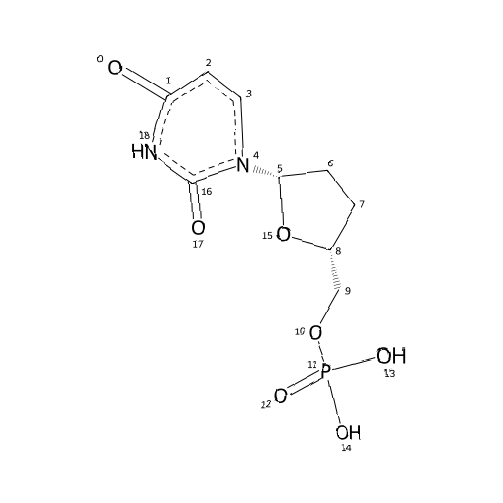 O=c1ccn([C@@H]2CC[C@H](COP(=O)(O)O)O2)c(=O)[nH]1